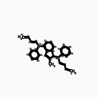 C=CC=[CH][Zr]([C]1C(C)=Cc2c1ccc[c]2[Zr]([CH]=CC=C)[c]1ccccc1)[c]1ccccc1